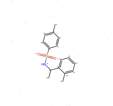 Cc1ccc(S(=O)(=O)NC(C)c2ccccc2C)cc1